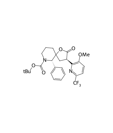 COc1ccc(C(F)(F)F)nc1[C@H]1CC2(CCCN(C(=O)OC(C)(C)C)[C@H]2c2ccccc2)OC1=O